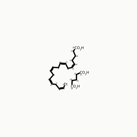 CC/C=C\C/C=C\C/C=C\C/C=C\C/C=C\CCCC(=O)O.O=C(O)CCCC(=O)O